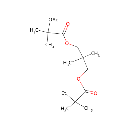 CCC(C)(C)C(=O)OCC(C)(C)COC(=O)C(C)(C)OC(C)=O